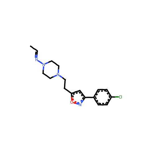 C/C=N/N1CCN(CCc2cc(-c3ccc(Cl)cc3)no2)CC1